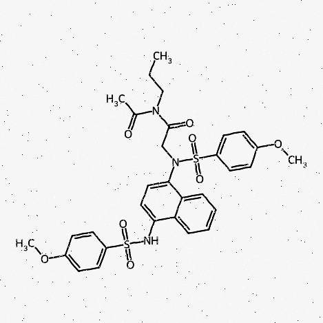 CCCN(C(C)=O)C(=O)CN(c1ccc(NS(=O)(=O)c2ccc(OC)cc2)c2ccccc12)S(=O)(=O)c1ccc(OC)cc1